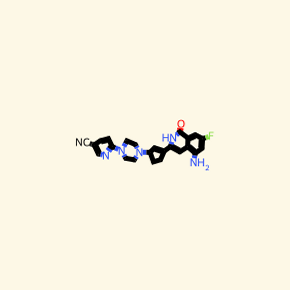 N#Cc1ccc(N2CCN(C3C=C(c4cc5c(N)cc(F)cc5c(=O)[nH]4)CC3)CC2)nc1